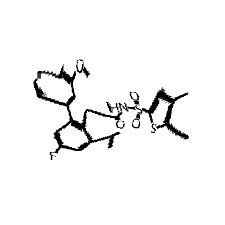 COc1cc(-c2cc(F)cc(C(C)C)c2CC(=O)NS(=O)(=O)c2cc(C)c(C)s2)ccn1